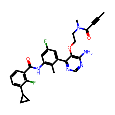 CC#CC(=O)N(C)CCOc1c(N)ncnc1-c1cc(F)cc(NC(=O)c2cccc(C3CC3)c2F)c1C